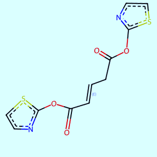 O=C(/C=C/CC(=O)Oc1nccs1)Oc1nccs1